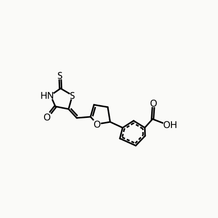 O=C1NC(=S)S/C1=C\C1=CCC(c2cccc(C(=O)O)c2)O1